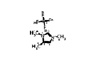 Cc1c[n+](C)cn1C.F[B-](F)(F)F